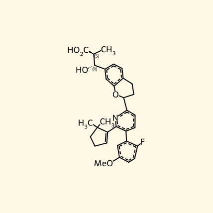 COc1ccc(F)c(-c2ccc(C3CCc4ccc([C@H](O)[C@H](C)C(=O)O)cc4O3)nc2C2=CCCC2(C)C)c1